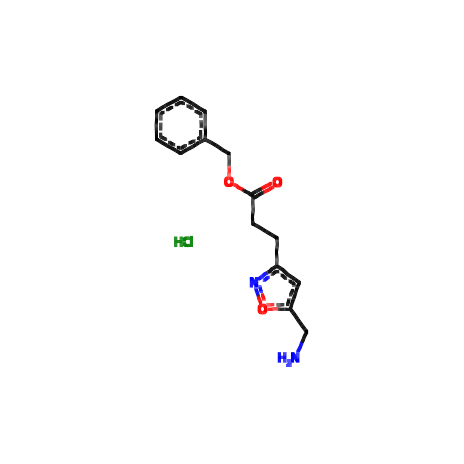 Cl.NCc1cc(CCC(=O)OCc2ccccc2)no1